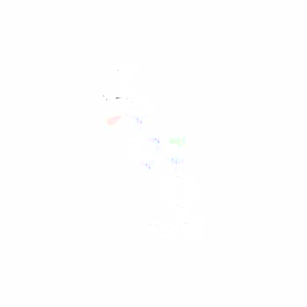 Cl.N#C[C@@]1(C2CC2)CCN(c2ccnc(Nc3ccc(C4(C(=O)O)CCC4)cc3)n2)C1=O